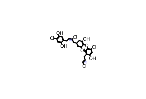 OC1=CC(C/C(Cl)=C\Cc2cc(O)c(Cl)cc2O)CC(O)=C1Oc1cc(C/C=C/Cl)c(O)cc1Cl